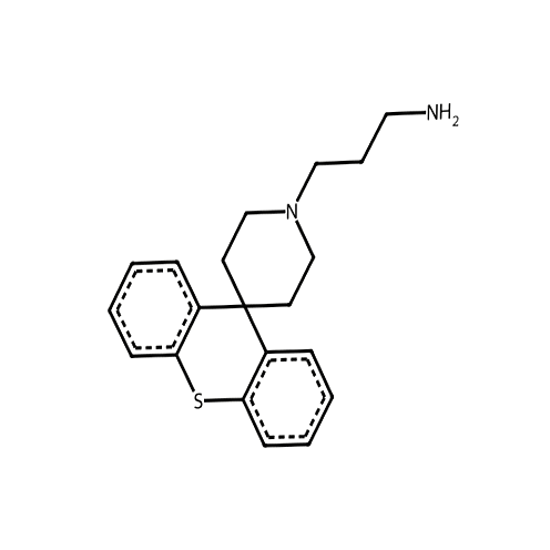 NCCCN1CCC2(CC1)c1ccccc1Sc1ccccc12